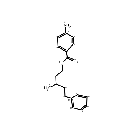 CC(CCOC(=O)c1ccc(N)cc1)CCc1ccccc1